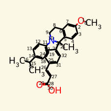 COc1ccc2c(c1)CCN(c1ccc(C(C)C)cc1)C2(C)c1ccc(C=CC(=O)O)cc1